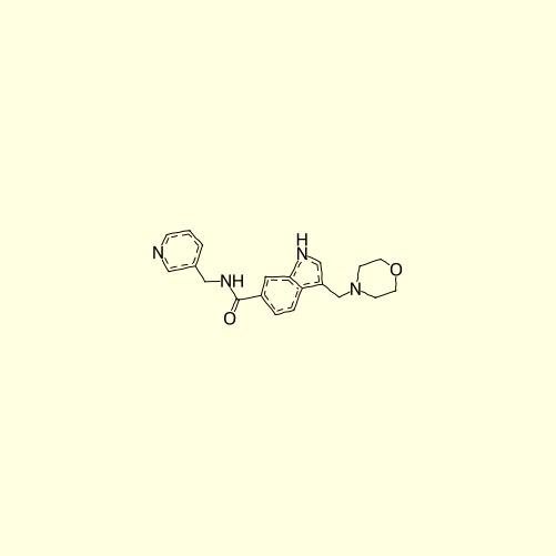 O=C(NCc1cccnc1)c1ccc2c(CN3CCOCC3)c[nH]c2c1